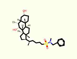 CC[C@H]1[C@@H](O)[C@@H]2[C@H](CC[C@]3(C)[C@@H]([C@H](C)CCCCS(=O)(=O)N(C)Cc4ccccc4)CC[C@@H]23)[C@@]2(C)CC[C@@H](O)C[C@@H]12